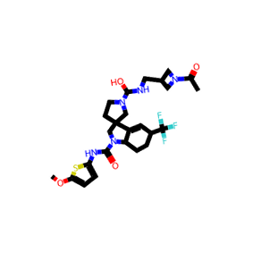 COc1ccc(NC(=O)N2CC3(CCN(C(O)NCC4CN(C(C)=O)C4)C3)C3=CC(C(F)(F)F)CCC32)s1